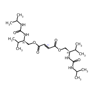 CC(C)NC(=O)N[C@@H](COC(=O)/C=C/C(=O)OC[C@H](NC(=O)NC(C)C)C(C)C)C(C)C